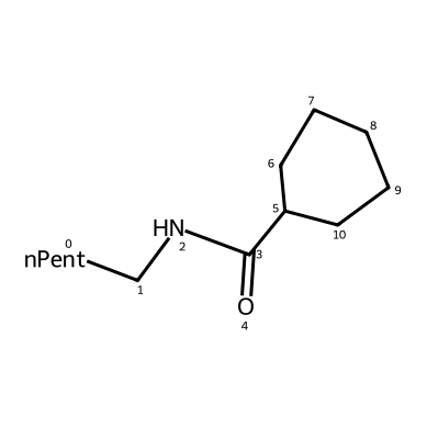 CCCCCCNC(=O)C1CCCCC1